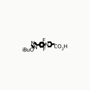 CC(C)COc1cncc(-c2cc(F)c(N3CCC(CC(=O)O)CC3)c(F)c2)n1